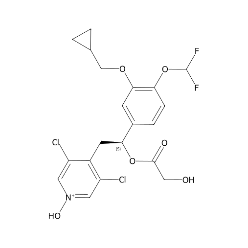 O=C(CO)O[C@@H](Cc1c(Cl)c[n+](O)cc1Cl)c1ccc(OC(F)F)c(OCC2CC2)c1